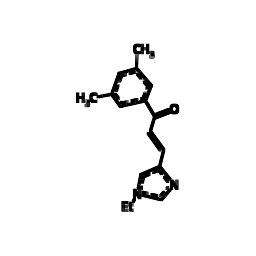 CCn1cnc(/C=C/C(=O)c2cc(C)cc(C)c2)c1